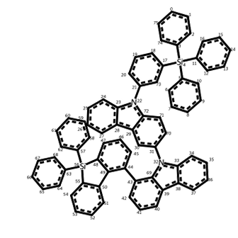 c1ccc([Si](c2ccccc2)(c2ccccc2)c2cccc(-n3c4ccccc4c4cc(-n5c6ccccc6c6cccc(-c7cccc8c7-c7ccccc7[Si]8(c7ccccc7)c7ccccc7)c65)ccc43)c2)cc1